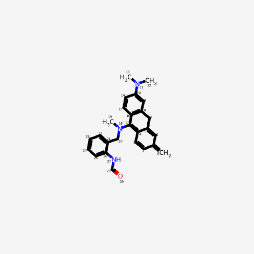 C=c1ccc2c(c1)Cc1cc(N(C)C)ccc1C=2N(C)Cc1ccccc1NC=O